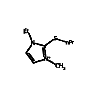 CCCSc1n(CC)cc[n+]1C